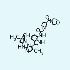 Cc1cnc(Nc2cc(C)n(C)n2)nc1-c1c[nH]c2c(NC(=O)CN3CC[C@@H](C(=O)N4CCOCC4)C3)cccc12